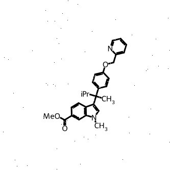 COC(=O)c1ccc2c(C(C)(c3ccc(OCc4ccccn4)cc3)C(C)C)cn(C)c2c1